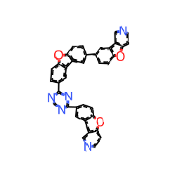 c1cc2oc3ccc(-c4ccc5oc6ccc(-c7ncnc(-c8ccc9oc%10ccncc%10c9c8)n7)cc6c5c4)cc3c2cn1